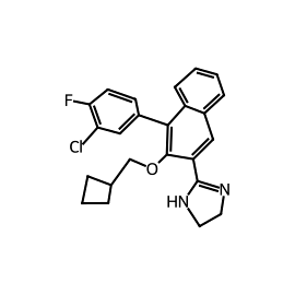 Fc1ccc(-c2c(OCC3CCC3)c(C3=NCCN3)cc3ccccc23)cc1Cl